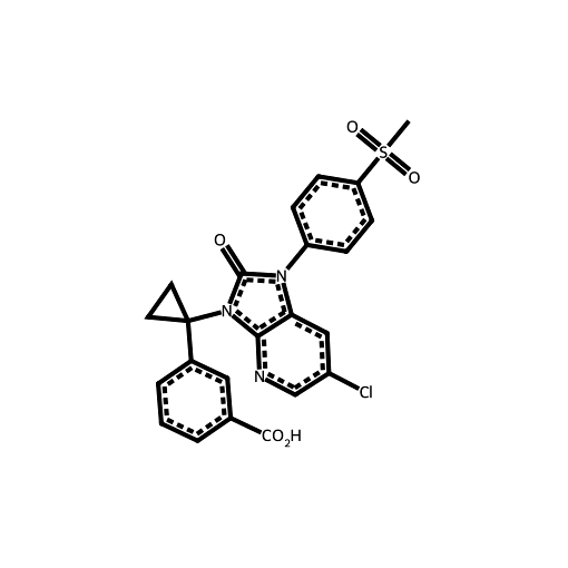 CS(=O)(=O)c1ccc(-n2c(=O)n(C3(c4cccc(C(=O)O)c4)CC3)c3ncc(Cl)cc32)cc1